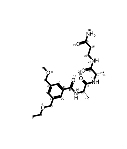 CCOCc1cc(COC)cc(C(=O)N[C@@H](C)C(=O)N[C@@H](C)C(=O)NCCC(N)=O)c1